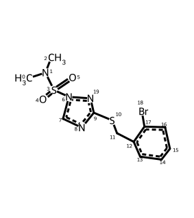 CN(C)S(=O)(=O)n1cnc(SCc2ccccc2Br)n1